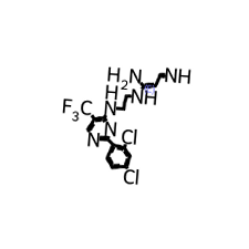 N=C/C=C(\N)NCCNc1nc(-c2ccc(Cl)cc2Cl)ncc1C(F)(F)F